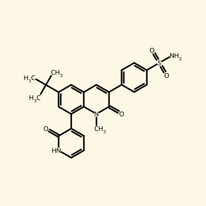 Cn1c(=O)c(-c2ccc(S(N)(=O)=O)cc2)cc2cc(C(C)(C)C)cc(-c3ccc[nH]c3=O)c21